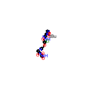 CN1CCC[C@@H]1c1cc2cnc(NC(=O)c3ccc(OCCC4CCN(c5cccc6c5CN(C5CCC(=O)NC5=O)C6=O)CC4)cc3Cl)cc2n1C(=O)OC(C)(C)C